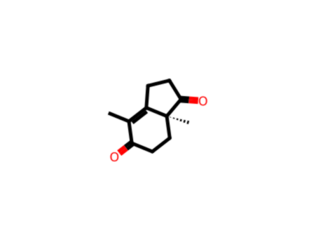 CC1=C2CCC(=O)[C@@]2(C)CCC1=O